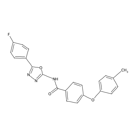 Cc1ccc(Oc2ccc(C(=O)Nc3nnc(-c4ccc(F)cc4)o3)cc2)cc1